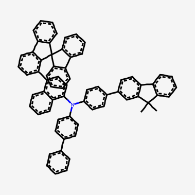 CC1(C)c2ccccc2-c2ccc(-c3ccc(N(c4ccc(-c5ccccc5)cc4)c4ccc(-c5cccc6c5C5(c7ccccc7-c7ccccc75)c5ccccc5-6)c5ccccc45)cc3)cc21